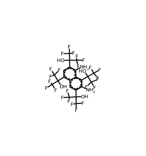 Nc1c(C(O)(C(F)(F)F)C(F)(F)F)cc2c(C(O)(C(F)(F)F)C(F)(F)F)cc(C(O)(C(F)(F)F)C(F)(F)F)c(N)c2c1C(O)(C(F)(F)F)C(F)(F)F